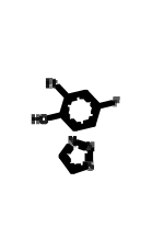 CCc1cc(F)ccc1O.c1csnn1